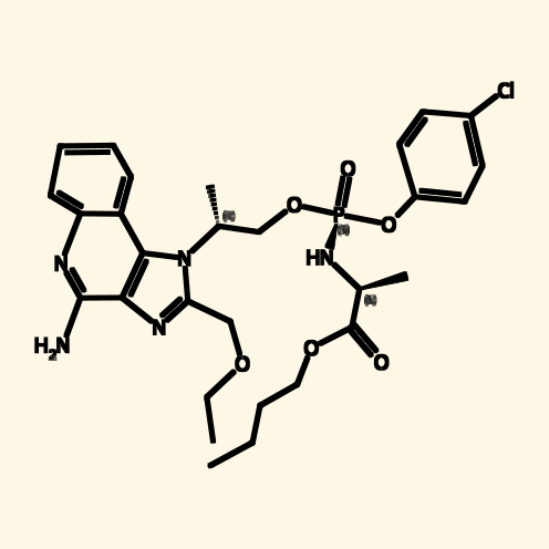 CCCCOC(=O)[C@H](C)N[P@](=O)(OC[C@@H](C)n1c(COCC)nc2c(N)nc3ccccc3c21)Oc1ccc(Cl)cc1